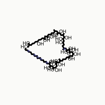 C=C/C=C/CC/C=C/C=C/C=C/CC/C=C/C(O)C(O)C1OC(C(O)C(O)C(=C)CCCCC(O)C2CC(O)C(O)C(C(O)C(O)/C=C(\C)CCC(O)CC(O)C(O)C(C)CC(O)C(O)CC(C)CCC(O)CC(=O)CC(O)CCCC(O)CCCCC(O)CO)O2)CC(O)C1O